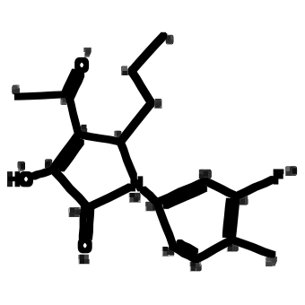 CCCC1C(C(C)=O)=C(O)C(=O)N1c1ccc(C)c(F)c1